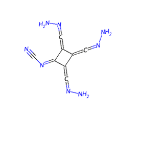 N#CN=C1C(=C=NN)C(=C=NN)C1=C=NN